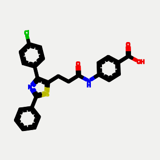 O=C(CCc1sc(-c2ccccc2)nc1-c1ccc(Cl)cc1)Nc1ccc(C(=O)O)cc1